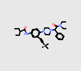 CCC(CC)C(=O)Nc1ccc(N2CCN(C(C(=O)N(CC)CC)c3ccccc3)CC2)c(C#C[Si](C)(C)C)c1